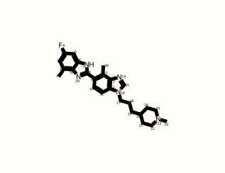 Cc1cc(F)cc2[nH]c(-c3ccc4c(ncn4CCCC4CCN(C)CC4)c3C)nc12